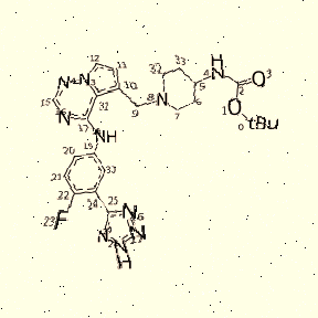 CC(C)(C)OC(=O)NC1CCN(Cc2ccn3ncnc(Nc4ccc(F)c(-c5nn[nH]n5)c4)c23)CC1